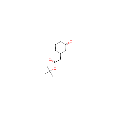 CC(C)(C)OC(=O)C[C@H]1CCCC(=O)C1